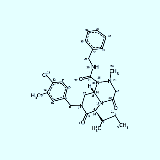 CCC(C)[C@H]1C(=O)N(Cc2ccc(Cl)c(C)c2)C[C@H]2N1C(=O)CN(C)N2C(=O)NCc1ccccc1